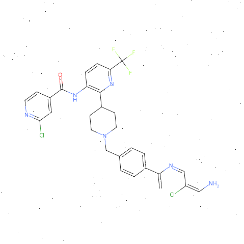 C=C(/N=C\C(Cl)=C/N)c1ccc(CN2CCC(c3nc(C(F)(F)F)ccc3NC(=O)c3ccnc(Cl)c3)CC2)cc1